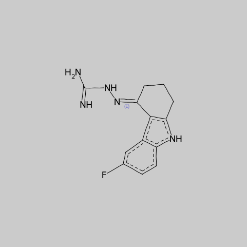 N=C(N)N/N=C1\CCCc2[nH]c3ccc(F)cc3c21